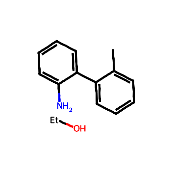 CCO.Cc1ccccc1-c1ccccc1N